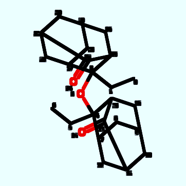 CCC1(OC2(CC)C3CC4CC(C3)C(=O)C2C4)C2CC3CC(C2)C(=O)C1C3